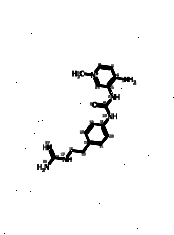 C[n+]1ccc(N)c(NC(=O)Nc2ccc(CCNC(=N)N)cc2)c1